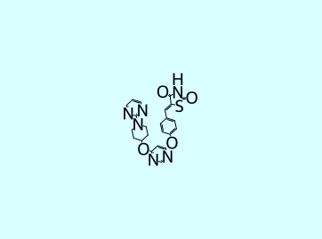 O=C1NC(=O)C(=Cc2ccc(Oc3cc(OC4CCN(c5ncccn5)CC4)ncn3)cc2)S1